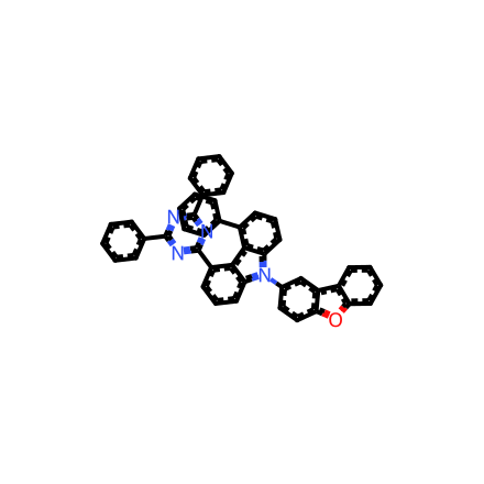 c1ccc(-c2nc(-c3ccccc3)nc(-c3cccc4c3c3c(-c5ccccc5)cccc3n4-c3ccc4oc5ccccc5c4c3)n2)cc1